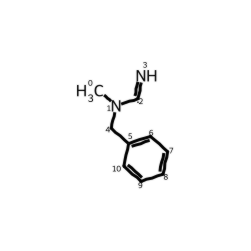 CN([C]=N)Cc1ccccc1